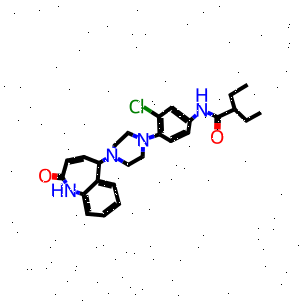 CCC(CC)C(=O)Nc1ccc(N2CCN(C3C=CC(=O)Nc4ccccc43)CC2)c(Cl)c1